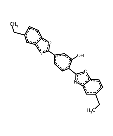 CCc1ccc2oc(-c3ccc(-c4nc5cc(CC)ccc5o4)c(O)c3)nc2c1